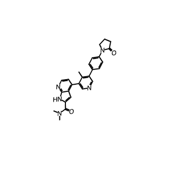 Cc1c(-c2ccc(N3CCCC3=O)cc2)cncc1-c1ccnc2[nH]c(C(=O)N(C)C)cc12